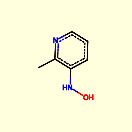 Cc1ncccc1NO